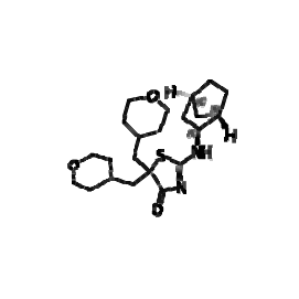 O=C1N=C(N[C@H]2C[C@H]3CC[C@H]2C3)SC1(CC1CCOCC1)CC1CCOCC1